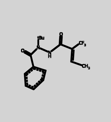 CC=C(C(=O)NN(C(=O)c1ccccc1)C(C)(C)C)C(F)(F)F